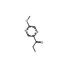 CCC(=O)c1cnc(OC)cn1